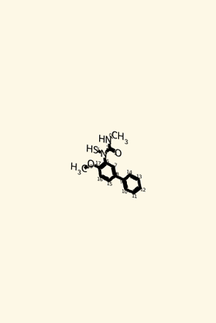 CNC(=O)N(S)c1cc(-c2ccccc2)ccc1OC